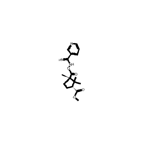 COC(=O)[C@@H]1CC[C@](C)(C(=O)ONC(=N)c2cccnc2)C1(C)C